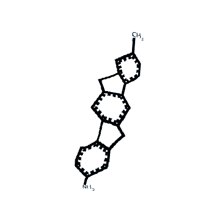 Cc1ccc2c(c1)Cc1cc3c(cc1-2)Cc1cc(N)ccc1-3